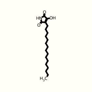 CCCCCCCCCCCCCCCCC1=C(O)C(=O)NC1=O